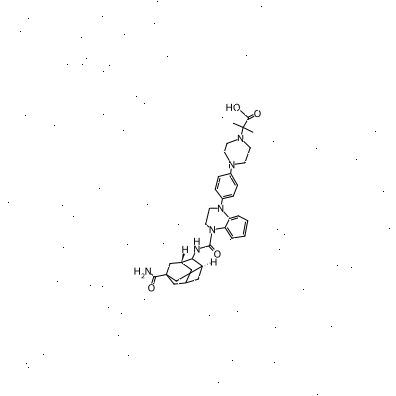 CC(C)(C(=O)O)N1CCN(c2ccc(N3CCN(C(=O)NC4[C@@H]5CC6C[C@H]4CC(C(N)=O)(C6)C5)c4ccccc43)cc2)CC1